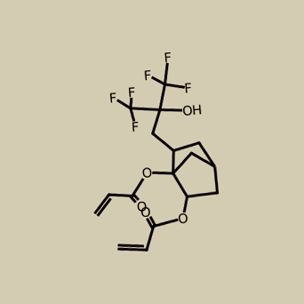 C=CC(=O)OC1CC2CC(CC(O)(C(F)(F)F)C(F)(F)F)C1(OC(=O)C=C)C2